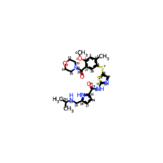 COc1cc(C)c(Sc2cnc(NC(=O)c3ccc(CNC(C)C)[nH]3)s2)cc1C(=O)N1CCOCC1